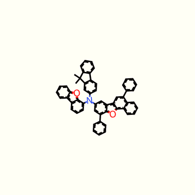 CC1(C)c2ccccc2-c2ccc(N(c3cc(-c4ccccc4)c4oc5c6ccccc6c(-c6ccccc6)cc5c4c3)c3cccc4c3oc3ccccc34)cc21